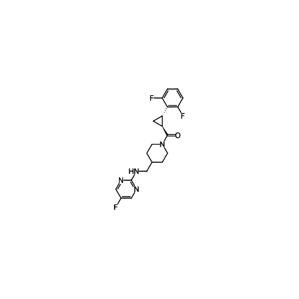 O=C([C@H]1C[C@@H]1c1c(F)cccc1F)N1CCC(CNc2ncc(F)cn2)CC1